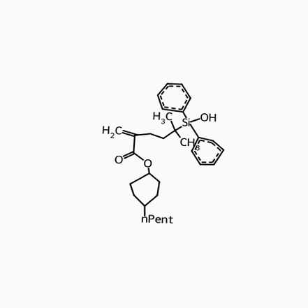 C=C(CCC(C)(C)[Si](O)(c1ccccc1)c1ccccc1)C(=O)OC1CCC(CCCCC)CC1